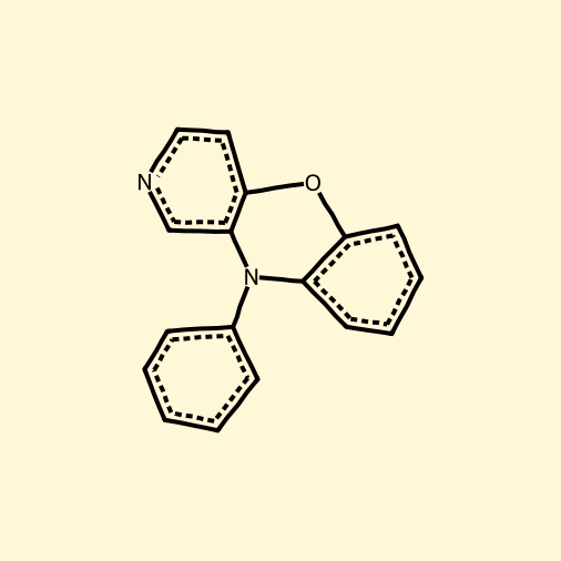 c1ccc(N2c3ccccc3Oc3ccncc32)cc1